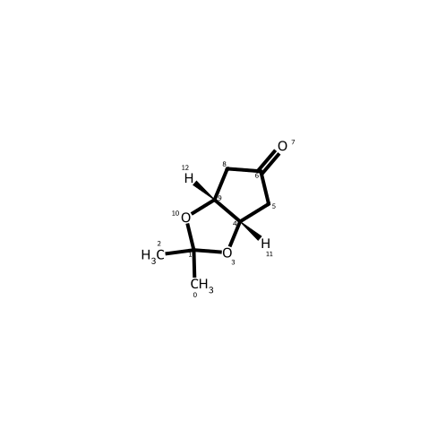 CC1(C)O[C@H]2CC(=O)C[C@H]2O1